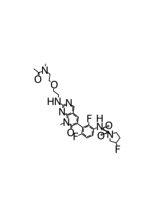 CC(=O)N(C)CCOCCNc1ncc2cc(-c3c(F)ccc(NS(=O)(=O)N4CC[C@@H](F)C4)c3F)c(=O)n(C)c2n1